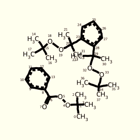 CC(C)(C)OOC(=O)c1ccccc1.CC(C)(C)OOC(C)(C)c1ccccc1C(C)(C)OOC(C)(C)C